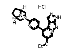 CCOc1cc(-c2ccc(N3C[C@H]4CC[C@@H](C3)N4)nc2)c2c3cn[nH]c3nn2c1.Cl